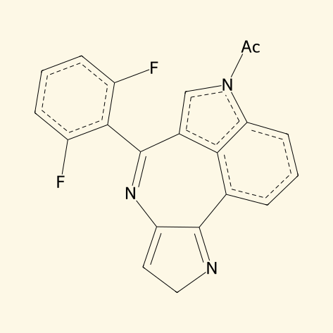 CC(=O)n1cc2c3c(cccc31)C1=NCC=C1N=C2c1c(F)cccc1F